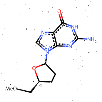 COC[C@@H]1CCC(n2cnc3c(=O)[nH]c(N)nc32)O1